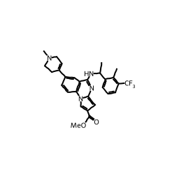 COC(=O)c1cc2nc(NC(C)c3cccc(C(F)(F)F)c3C)c3cc(C4=CCN(C)CC4)ccc3n2c1